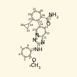 COc1ccccc1Nc1nc2ccc(-c3c(C(N)=O)cccc3C3CC3)cn2n1